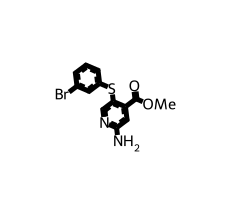 COC(=O)c1cc(N)ncc1Sc1cccc(Br)c1